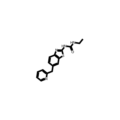 CCNC(=O)Nc1nc2ccc(Cc3ccccn3)cc2s1